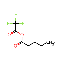 [CH2]CCCC(=O)OC(=O)C(F)(F)F